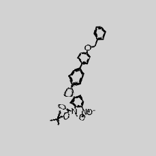 CN(C(=O)OC(C)(C)C)c1cc(Oc2ccc(-c3ccc(OCc4ccccc4)cc3)cc2)ccc1[N+](=O)[O-]